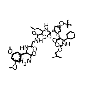 CCCC(NC(=O)[C@@H]1C[C@@H](OC(C)(C)C)CN1C(=O)[C@@H](NC(=O)OCC(C)C)C1CCCCC1)C(=O)C(=O)NCC(=O)NC(C(N)=O)c1cc(OC)cc(OC)c1